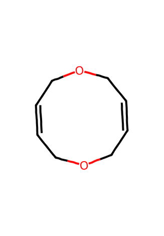 C1=CCOCC=CCOC1